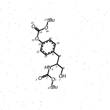 CC(C)(C)OC(=O)NC(CO)Cc1ccc(OC(=O)OC(C)(C)C)cc1